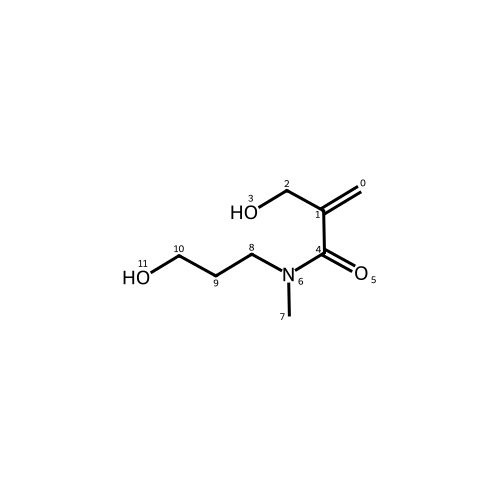 C=C(CO)C(=O)N(C)CCCO